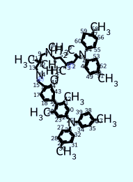 C=C(/C=C(/C)CCN(C)CC(C)(C)C/N=C/c1ccc(-c2c(C)cc(N(c3ccc(C)cc3)c3ccc(C)cc3)cc2C)cc1O)N(c1ccc(C)cc1)c1ccc(C)cc1